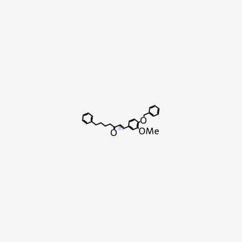 COc1cc(/C=C/C(=O)CCCCc2ccccc2)ccc1OCc1ccccc1